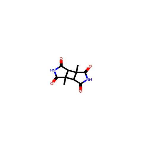 CC12C(=O)NC(=O)C1C1(C)C(=O)NC(=O)C21